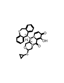 O=C1c2c(O)c(=O)ccn2N([C@H]2c3ccccc3CSc3ccccc32)[C@@H]2COC(SC3CC3)CN12